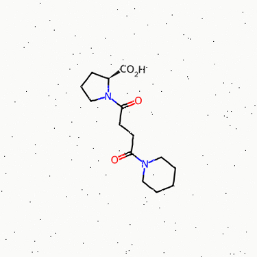 O=C(O)[C@@H]1CCCN1C(=O)CCC(=O)N1CCCCC1